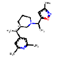 COc1cc(C(C)N2CCC[C@H]([C@H](C)c3cc(C)nc(C)c3)C2)on1